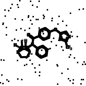 C[C@H]1[C@H](N(C(=O)c2ccc(Oc3cnc(C(F)(F)F)s3)cc2)c2ccccc2)C2CCN1CC2